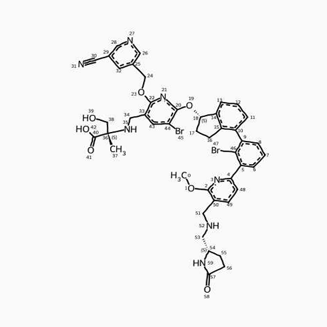 COc1nc(-c2cccc(-c3cccc4c3CC[C@@H]4Oc3nc(OCc4cncc(C#N)c4)c(CN[C@@](C)(CO)C(=O)O)cc3Br)c2Br)ccc1CNC[C@@H]1CCC(=O)N1